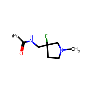 CC(C)C(=O)NCC1(F)CCN(C)C1